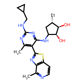 CC[C@H]1CC(Nc2nc(NCC3CC3)nc(C)c2-c2nc3c(C)nccc3s2)[C@H](O)[C@@H]1O